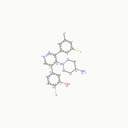 Cc1cc(F)cc(-c2cncc(-c3ccc(F)c(O)c3)c2N2CCC(N)CC2)c1